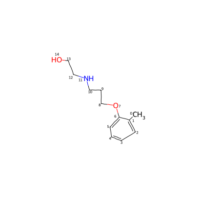 Cc1ccccc1OCCCNCCO